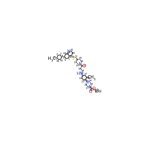 Cc1ccc(-c2ccc3c(SCC4CCN(C(=O)CCNc5ccc(N6CCN(C(=O)OC(C)(C)C)CC6)c(C)c5)CC4)ccnc3c2)cc1